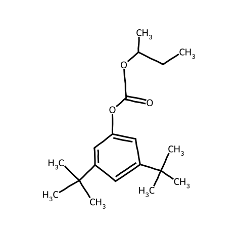 CCC(C)OC(=O)Oc1cc(C(C)(C)C)cc(C(C)(C)C)c1